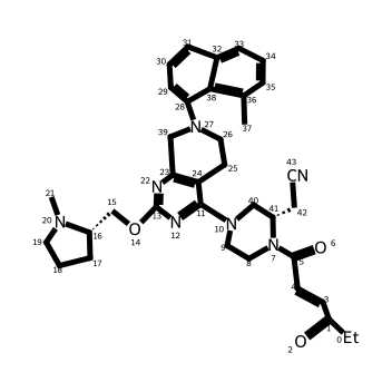 CCC(=O)/C=C/C(=O)N1CCN(c2nc(OC[C@@H]3CCCN3C)nc3c2CCN(c2cccc4cccc(C)c24)C3)C[C@@H]1CC#N